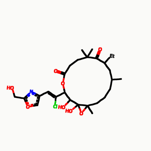 CCC1CC(C)CCCC2(C)OC2(O)C(O)C(C(Cl)=Cc2coc(CO)n2)OC(=O)CCC(C)(C)C1=O